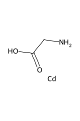 NCC(=O)O.[Cd]